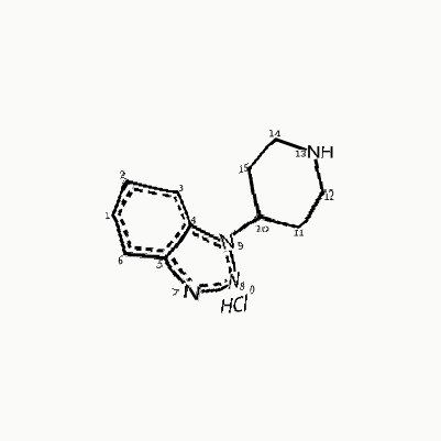 Cl.c1ccc2c(c1)nnn2C1CCNCC1